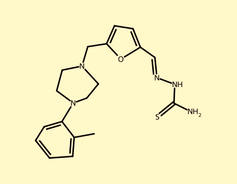 Cc1ccccc1N1CCN(Cc2ccc(C=NNC(N)=S)o2)CC1